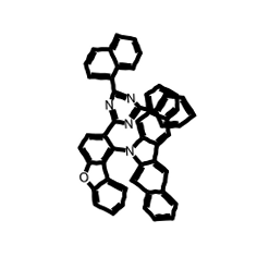 c1ccc(-c2nc(-c3ccc4oc5ccccc5c4c3-n3c4cc5ccccc5cc4c4cc5ccccc5cc43)nc(-c3cccc4ccccc34)n2)cc1